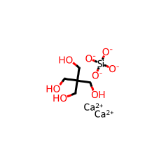 OCC(CO)(CO)CO.[Ca+2].[Ca+2].[O-][Si]([O-])([O-])[O-]